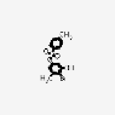 Cc1ccc(S(=O)(=O)Oc2cc(C)c(Br)c(O)c2)cc1